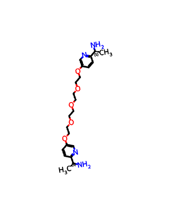 C[C@H](N)c1ccc(OCCOCCOCCOCCOc2ccc([C@H](C)N)nc2)cn1